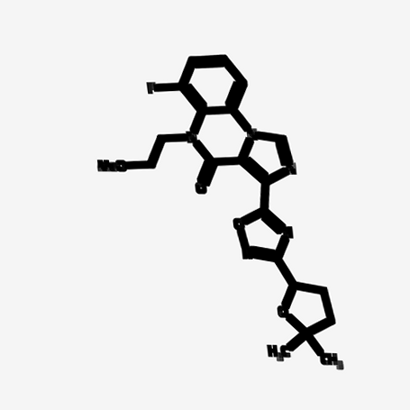 COCCn1c(=O)c2c(-c3nc(C4CCC(C)(C)O4)no3)ncn2c2cccc(F)c21